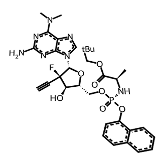 C#C[C@@]1(F)[C@H](O)[C@@H](CO[P@@](=O)(N[C@H](C)C(=O)OCC(C)(C)C)Oc2cccc3ccccc23)O[C@H]1n1cnc2c(N(C)C)nc(N)nc21